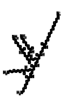 [N-]=[N+]=NCCOCCOCCOCCOCCC(=O)NCCCNC(=O)CN(CCNC(=O)CN(CCNC(=O)COCCOCCN)CCNC(=O)COCCOCCN)CCNC(=O)CN(CCNC(=O)COCCOCCN)CCNC(=O)COCCOCCN